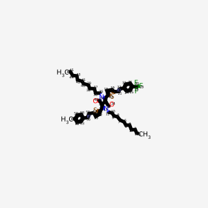 CCCCCCCCCCCCN1C(=O)C2=C(c3ccc(/C=C/c4ccc(C(F)(F)F)cc4)s3)N(CCCCCCCCCCCC)C(=O)C2=C1c1ccc(/C=C/c2ccc(C)cc2)s1